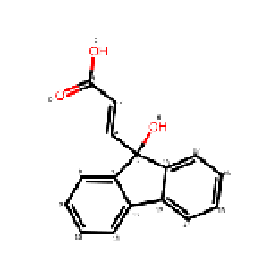 O=C(O)C=CC1(O)c2ccccc2-c2ccccc21